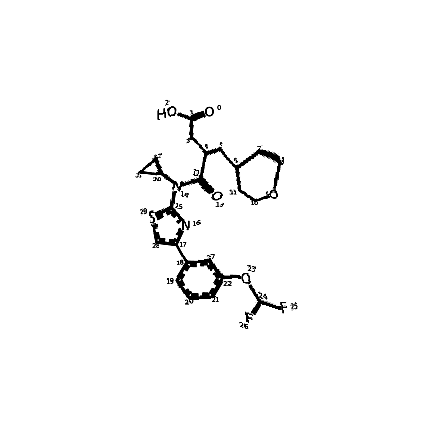 O=C(O)CC(CC1CCOCC1)C(=O)N(c1nc(-c2cccc(OC(F)F)c2)cs1)C1CC1